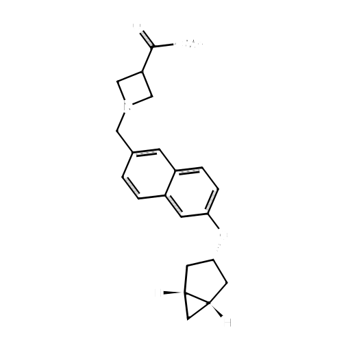 COC(=O)C1CN(Cc2ccc3cc(O[C@@H]4C[C@@H]5C[C@@H]5C4)ccc3c2)C1